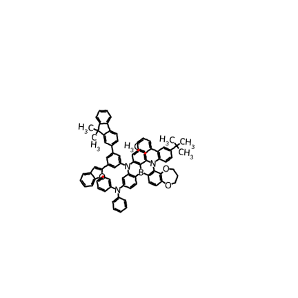 Cc1cc2c3c(c1)N(c1ccc(C(C)(C)C)cc1-c1ccccc1)c1c(ccc4c1OCCCO4)B3c1ccc(N(c3ccccc3)c3ccccc3)cc1N2c1cc(-c2ccc3c(c2)C(C)(C)c2ccccc2-3)cc(-c2cc3ccccc3o2)c1